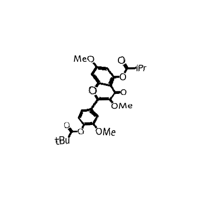 COc1cc(OC(=O)C(C)C)c2c(=O)c(OC)c(-c3ccc(OC(=O)C(C)(C)C)c(OC)c3)oc2c1